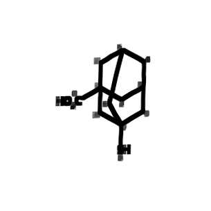 O=C(O)C12CC3CC(CC(S)(C3)C1)C2